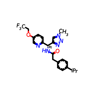 CC(C)c1ccc(CC(=O)N[C@H](c2ccc(OCC(F)(F)F)cn2)c2cn(C)nn2)cc1